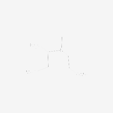 COCCN(C)C(COC)C(=O)O